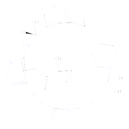 C[C@H]1Nc2ncnc3c2cc(C2(C#N)CC2)c(=O)n3CC(=O)NCCC[C@H](C)N2CCC(CC2)C(F)(F)c2cccc1c2F